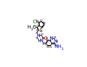 Cc1c(CN2CCN(Cc3ccc4c(N)ncnc4c3)C(=O)C2)sc2cccc(Cl)c12